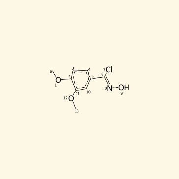 COc1ccc(C(Cl)=NO)cc1OC